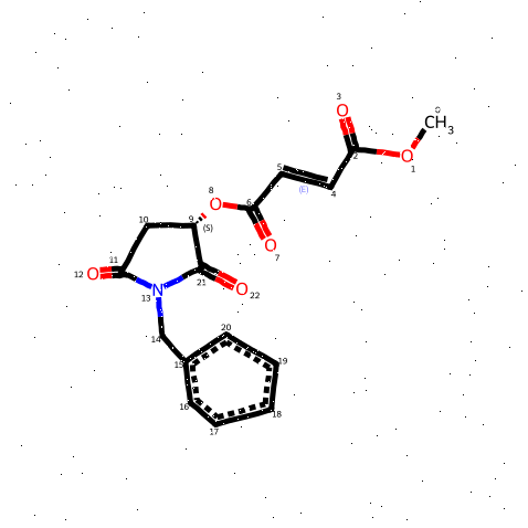 COC(=O)/C=C/C(=O)O[C@H]1CC(=O)N(Cc2ccccc2)C1=O